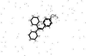 Cc1ccc(C=C(C2CCCCC2)C2CCCCC2)cc1